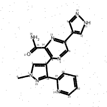 Cn1cc(-c2ncc(-c3cn[nH]c3)nc2C(N)=O)c(-c2ccccn2)n1